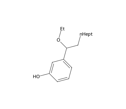 CCCCCCCCC(OCC)c1cccc(O)c1